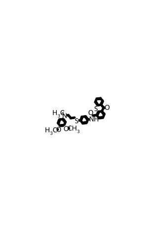 COc1ccc(N(C)CCCSc2ccc(NC(=O)c3cccc4c(=O)c5ccccc5sc34)cc2)cc1OC